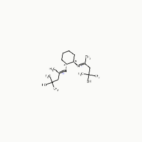 C/C(CC(O)(C(F)(F)F)C(F)(F)F)=N\[C@@H]1CCCC[C@H]1/N=C(\C)CC(O)(C(F)(F)F)C(F)(F)F